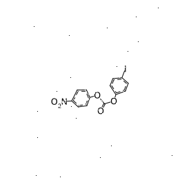 O=C(Oc1ccc(I)cc1)Oc1ccc([N+](=O)[O-])cc1